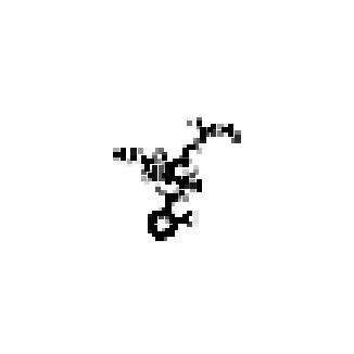 CC(=O)OC[C@H]1O[C@@H]2N=C(c3ccccc3Cl)O[C@@H]2[C@@H]1OC(C)=O